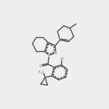 CC1CC=C(c2nn(C(=O)c3c(Cl)cccc3C3(C(F)(F)F)CC3)c3c2CCCC3)CC1